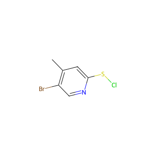 Cc1cc(SCl)ncc1Br